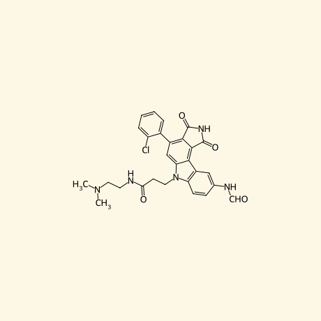 CN(C)CCNC(=O)CCn1c2ccc(NC=O)cc2c2c3c(c(-c4ccccc4Cl)cc21)C(=O)NC3=O